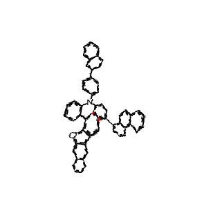 c1ccc(N(c2ccc(-c3ccc4ccccc4c3)cc2)c2ccc(-c3cccc4c3ccc3ccccc34)cc2)c(-c2cccc3c2oc2cc4ccccc4cc23)c1